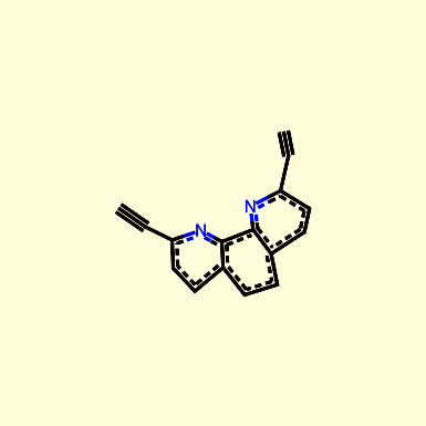 C#Cc1ccc2ccc3ccc(C#C)nc3c2n1